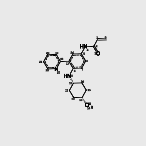 C=CC(=O)Nc1ccc(N[C@H]2CC[C@@H](C(F)(F)F)CC2)c(-c2ccccn2)c1